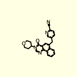 N#Cc1ccc(Cc2cc3c(=O)n(C4CCOCC4)cnc3c3ccccc23)cn1